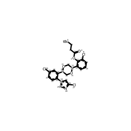 CC(C)(C)CCC(=O)Oc1c(Cl)cccc1N1CON(c2cc(Cl)ccc2-n2cc(Cl)nn2)CO1